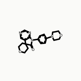 O=C1N(c2ccc(N3CCOCC3)cc2)c2ncncc2C12CCOCC2